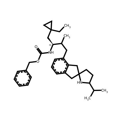 CCC1(C[C@H](NC(=O)OCc2ccccc2)C(C)Cc2cccc3c2CC2(CCC(C(C)C)N2)C3)CC1